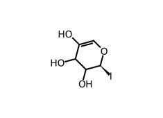 OC1=CO[C@@H](I)C(O)C1O